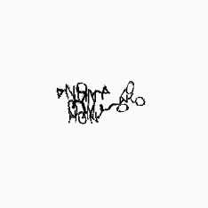 C=C(/C=N\N1CN(CC2(C)CC2)C(=O)C(C(=O)NC2CC2)=C1O)/C=C/C(=O)N1CCOC[C@H]1COC